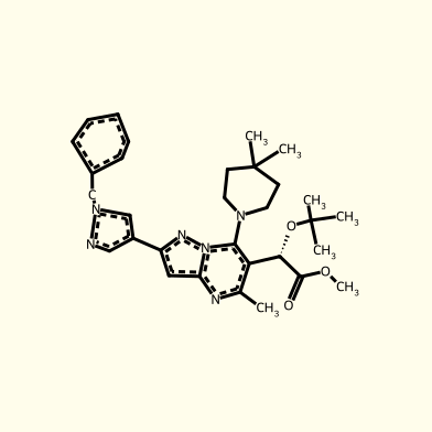 COC(=O)[C@@H](OC(C)(C)C)c1c(C)nc2cc(-c3cnn(Cc4ccccc4)c3)nn2c1N1CCC(C)(C)CC1